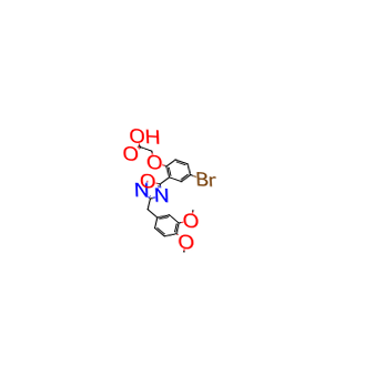 COc1ccc(Cc2noc(-c3cc(Br)ccc3OCC(=O)O)n2)cc1OC